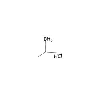 BC(C)C.Cl